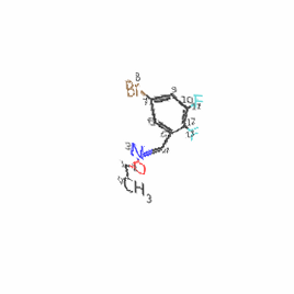 CCON=Cc1cc(Br)cc(F)c1F